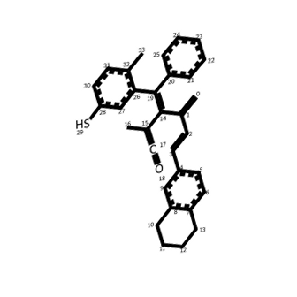 C=C(/C=C/c1ccc2c(c1)CCCC2)/C(C(C)=C=O)=C(\c1ccccc1)c1cc(S)ccc1C